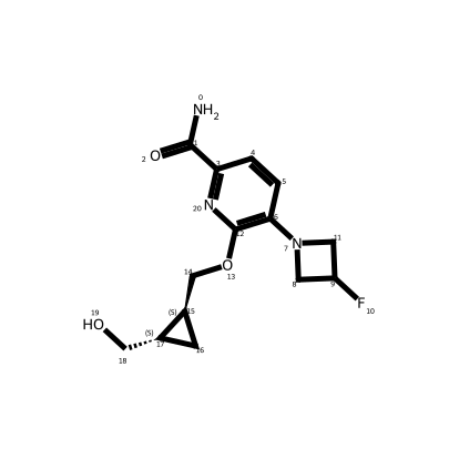 NC(=O)c1ccc(N2CC(F)C2)c(OC[C@H]2C[C@@H]2CO)n1